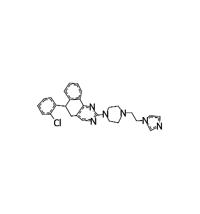 Clc1ccccc1C1Cc2cnc(N3CCN(CCn4ccnc4)CC3)nc2-c2ccccc21